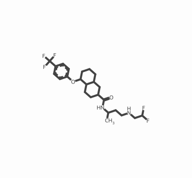 CC(CCNCC(F)F)NC(=O)C1CCC2C(CCCC2Oc2ccc(C(F)(F)F)cc2)C1